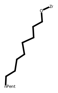 CCCCCCCCCCCCC[O][Zr]